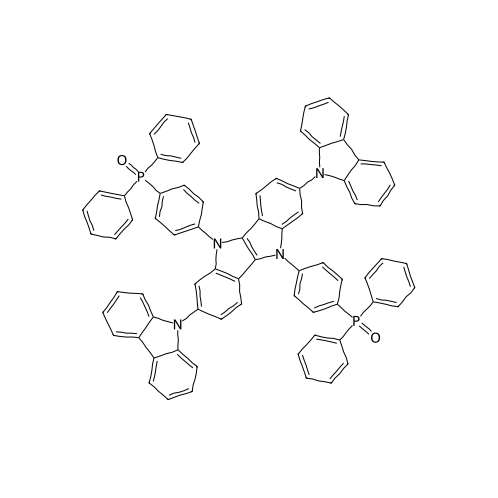 O=P(c1ccccc1)(c1ccccc1)c1ccc(-n2c3cc(-n4c5ccccc5c5ccccc54)ccc3c3c2c2ccc(-n4c5ccccc5c5ccccc54)cc2n3-c2ccc(P(=O)(c3ccccc3)c3ccccc3)cc2)cc1